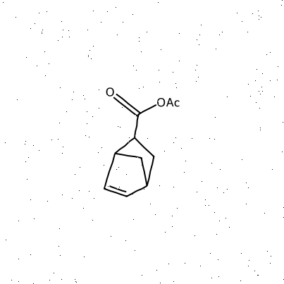 CC(=O)OC(=O)C1CC2C=CC1C2